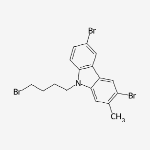 Cc1cc2c(cc1Br)c1cc(Br)ccc1n2CCCCBr